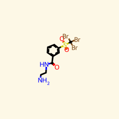 NCCNC(=O)c1cccc(S(=O)(=O)C(Br)(Br)Br)c1